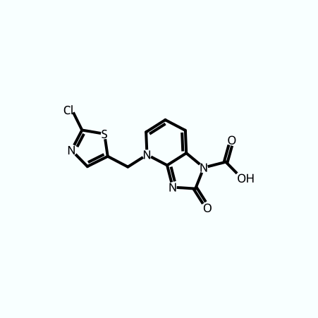 O=C(O)n1c2cccn(Cc3cnc(Cl)s3)c-2nc1=O